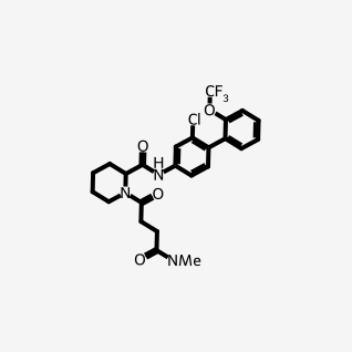 CNC(=O)CCC(=O)N1CCCCC1C(=O)Nc1ccc(-c2ccccc2OC(F)(F)F)c(Cl)c1